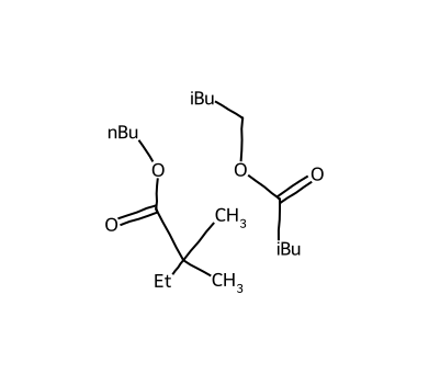 CCC(C)COC(=O)C(C)CC.CCCCOC(=O)C(C)(C)CC